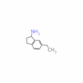 CCc1ccc2c(c1)C(N)CC2